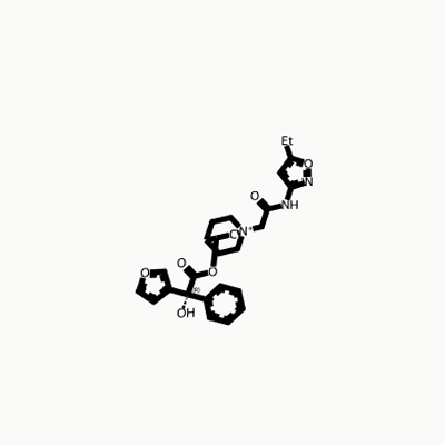 CCc1cc(NC(=O)C[N+]23CCC(CC2)C(OC(=O)[C@@](O)(c2ccccc2)c2ccoc2)C3)no1